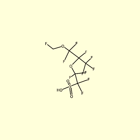 O=S(=O)(O)C(F)(F)C(F)(F)OC(F)(C(F)(F)F)C(F)(F)OCF